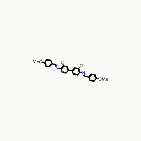 COc1ccc(/C=N/c2ccc(-c3ccc(/N=C/c4ccc(OC)cc4)c(Cl)c3)cc2Cl)cc1